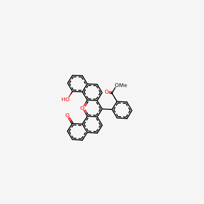 COC(=O)c1ccccc1-c1c2ccc3cccc(O)c3c2oc2c1ccc1cccc(=O)c12